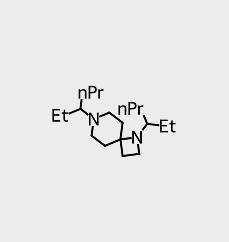 CCCC(CC)N1CCC2(CC1)CCN2C(CC)CCC